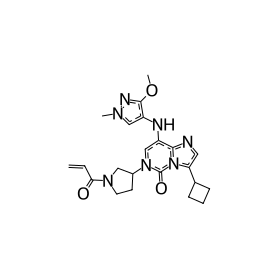 C=CC(=O)N1CCC(n2cc(Nc3cn(C)nc3OC)c3ncc(C4CCC4)n3c2=O)C1